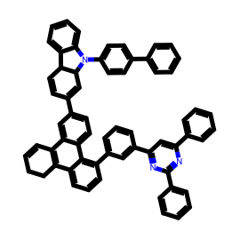 C1=Cc2c(c3cccc(-c4cccc(-c5cc(-c6ccccc6)nc(-c6ccccc6)n5)c4)c3c3ccc(C4=CC5C(C=C4)c4ccccc4N5c4ccc(-c5ccccc5)cc4)cc23)CC1